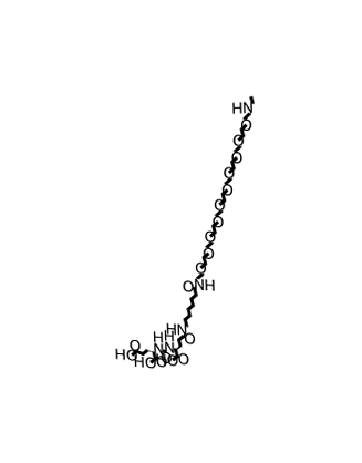 CCNCCOCCOCCOCCOCCOCCOCCOCCOCCOCCOCCNC(=O)CCCCCCCNC(=O)CC[C@H](NC(=O)N[C@@H](CCC(=O)O)C(=O)O)C(=O)O